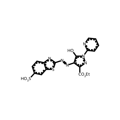 CCOC(=O)c1nn(-c2ccccn2)c(O)c1N=Nc1nc2ccc(S(=O)(=O)O)cc2s1